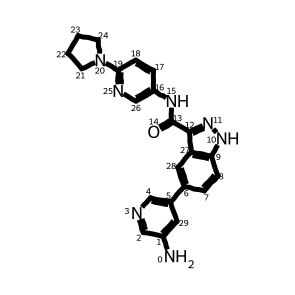 Nc1cncc(-c2ccc3[nH]nc(C(=O)Nc4ccc(N5CCCC5)nc4)c3c2)c1